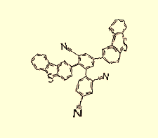 N#Cc1ccc(-c2cc(-c3ccc4sc5ccccc5c4c3)cc(C#N)c2-c2ccc3sc4ccccc4c3c2)c(C#N)c1